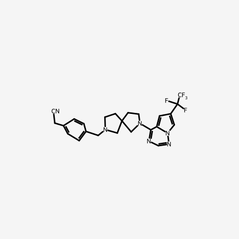 N#CCc1ccc(CN2CCC3(CCN(c4ncnn5cc(C(F)(F)C(F)(F)F)cc45)C3)C2)cc1